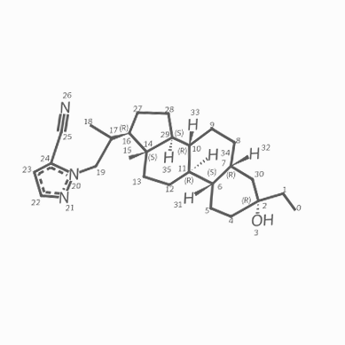 CC[C@@]1(O)CC[C@H]2[C@H](CC[C@@H]3[C@@H]2CC[C@]2(C)[C@@H](C(C)Cn4nccc4C#N)CC[C@@H]32)C1